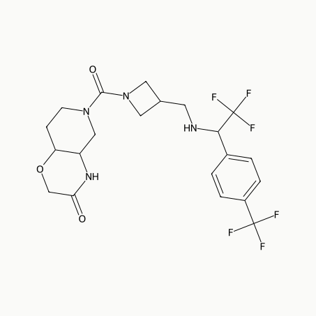 O=C1COC2CCN(C(=O)N3CC(CNC(c4ccc(C(F)(F)F)cc4)C(F)(F)F)C3)CC2N1